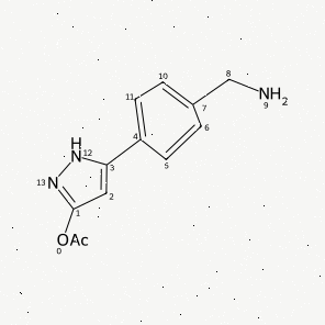 CC(=O)Oc1cc(-c2ccc(CN)cc2)[nH]n1